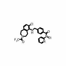 CCN(C(=O)c1ccc(CNc2c(Cl)ccc3c2CCN(C(=O)C(F)(F)F)CC3)cc1)c1ccccn1